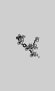 CC(C)C(=O)CCCC(=O)N[C@H](C(=O)N[C@@H](CCCNC(N)=O)C(=O)Nc1ccc(COC(=O)NCC2(NC(=O)C(C)C)CCC2)cc1)C(C)C